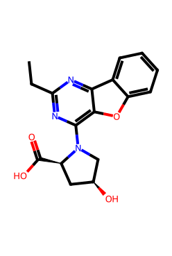 CCc1nc(N2C[C@@H](O)C[C@H]2C(=O)O)c2oc3ccccc3c2n1